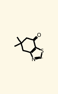 CC1(C)CC(=O)c2s[c]nc2C1